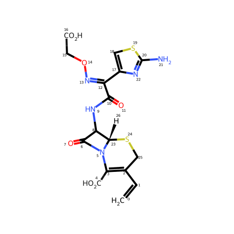 C=CC1=C(C(=O)O)N2C(=O)C(NC(=O)C(=NOCC(=O)O)c3csc(N)n3)[C@@H]2SC1